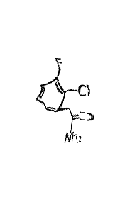 NC(=O)c1cccc(F)c1Cl